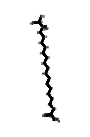 CC(=O)OCCCCCCCCCCCCCCC[SiH2]C(F)F